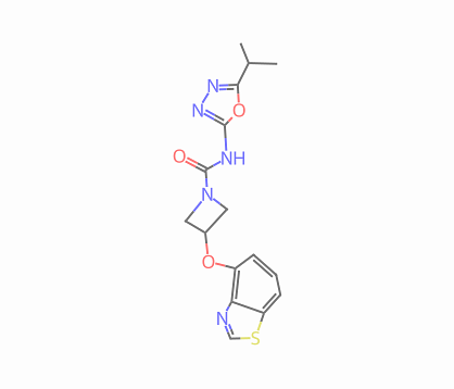 CC(C)c1nnc(NC(=O)N2CC(Oc3cccc4scnc34)C2)o1